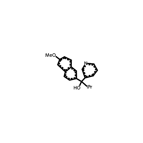 COc1ccc2cc(C(O)(c3cccnc3)C(C)C)ccc2c1